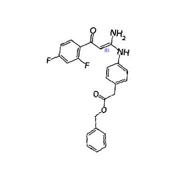 N/C(=C\C(=O)c1ccc(F)cc1F)Nc1ccc(CC(=O)OCc2ccccc2)cc1